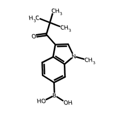 Cn1cc(C(=O)C(C)(C)C)c2ccc(B(O)O)cc21